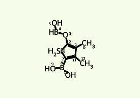 CC1=C(OBO)[SiH2]C(B(O)O)=C1C